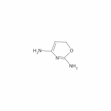 NC1=CCOC(N)=N1